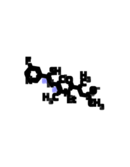 CCN(C(=O)C(C)C[S+](C)[O-])/C(C)=C(Cl)/N=C(\S)c1cncc(F)c1